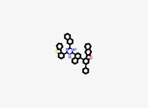 c1ccc(-c2cc(-c3ccc(C4NC(c5ccc6ccccc6c5)=NC(c5cccc6sc7ccccc7c56)N4)c4ccccc34)c3c(c2)oc2cc4ccccc4cc23)cc1